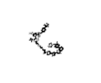 Cc1ncsc1-c1ccc(CNC(=O)[C@@H]2C[C@@H](O)CN2C(=O)[C@@H](NC(=O)CCOCCOCCC(=O)N2CCC(n3cc(-c4cnc5cccc(-c6cc(F)c(CN7CCOCC7)c(F)c6)c5n4)cn3)CC2)C(C)(C)C)cc1